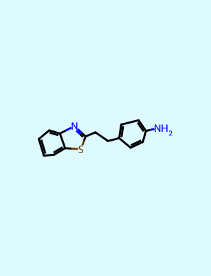 Nc1ccc(CCc2nc3ccccc3s2)cc1